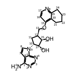 Nc1ncnc2c1ccn2[C@@H]1C[C@@H](COc2ccnc3c2CCCC3)[C@@H](O)[C@H]1O